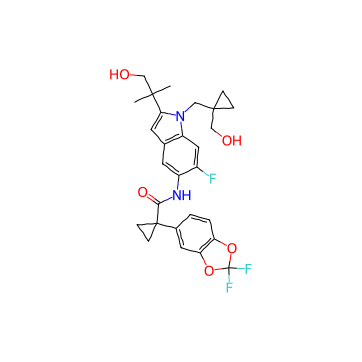 CC(C)(CO)c1cc2cc(NC(=O)C3(c4ccc5c(c4)OC(F)(F)O5)CC3)c(F)cc2n1CC1(CO)CC1